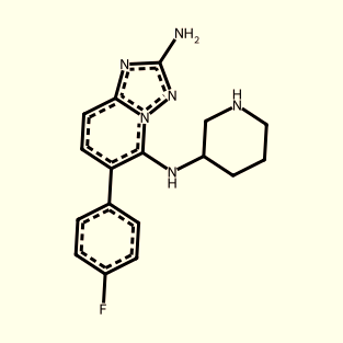 Nc1nc2ccc(-c3ccc(F)cc3)c(NC3CCCNC3)n2n1